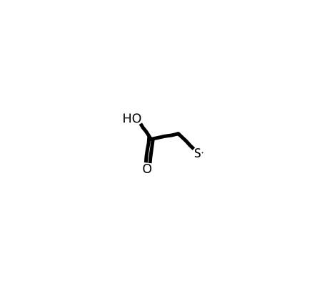 O=C(O)C[S]